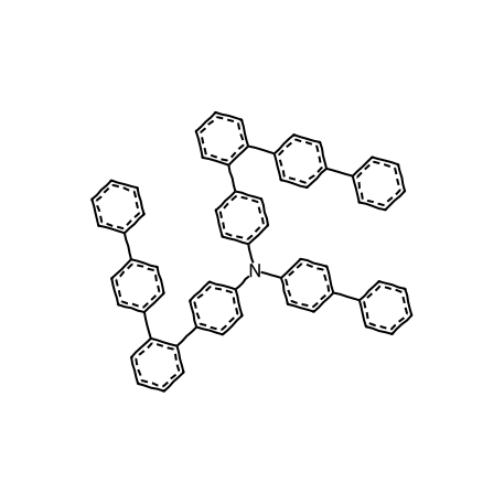 c1ccc(-c2ccc(-c3ccccc3-c3ccc(N(c4ccc(-c5ccccc5)cc4)c4ccc(-c5ccccc5-c5ccc(-c6ccccc6)cc5)cc4)cc3)cc2)cc1